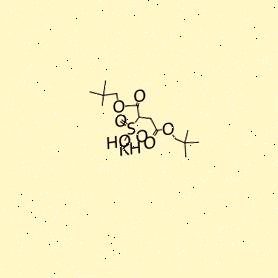 CC(C)(C)COC(=O)CC(C(=O)OCC(C)(C)C)S(=O)(=O)O.[KH]